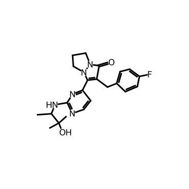 CC(Nc1nccc(-c2c(Cc3ccc(F)cc3)c(=O)n3n2CCC3)n1)C(C)(C)O